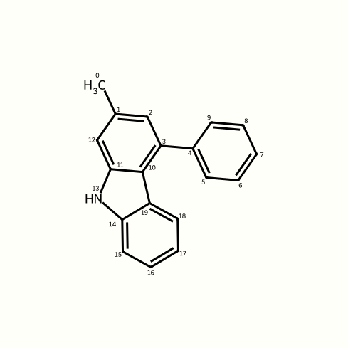 Cc1cc(-c2ccccc2)c2c(c1)[nH]c1ccccc12